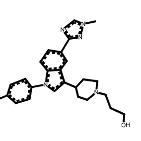 Cn1cnc(-c2ccc3c(c2)c(C2CCN(CCCO)CC2)cn3-c2ccc(F)cc2)n1